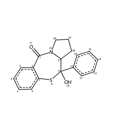 O=C1c2ccccc2SC(O)(c2ccccc2)C2CCCN12